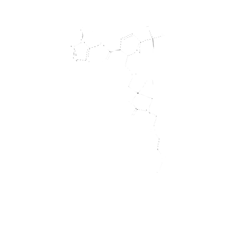 COCCOCN1CC(C)(COCc2nc(C(F)(F)F)ccc2C(=O)Nc2nnnn2C)OC1=O